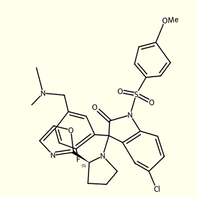 COc1ccc(S(=O)(=O)N2C(=O)C(c3cc(CN(C)C)ccc3F)(N3CCC[C@H]3c3ncco3)c3cc(Cl)ccc32)cc1